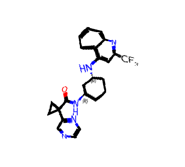 O=C(N[C@@H]1CCC[C@@H](Nc2cc(C(F)(F)F)nc3ccccc23)C1)C1(c2cnccn2)CC1